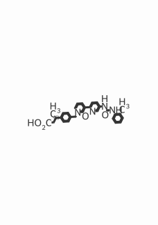 Cc1ccccc1NC(=O)Nc1ccc(-c2cccn(Cc3ccc([C@@H](C)CC(=O)O)cc3)c2=O)nc1